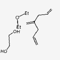 C=CCC(=C)CC=C.CCOCC.OCCO